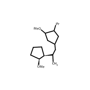 COC1CC(CC(C)[C@@H]2CCC[C@@H]2OC)CC1C(C)C